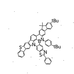 CC(C)(C)c1ccc(N2B3c4cc5nc(-c6ccccc6)sc5cc4-n4c5cc6c(cc5c5ccc(c3c54)-c3cc4c(cc32)-c2ccc(C(C)(C)C)cc2C4(C)C)sc2ccccc26)cc1